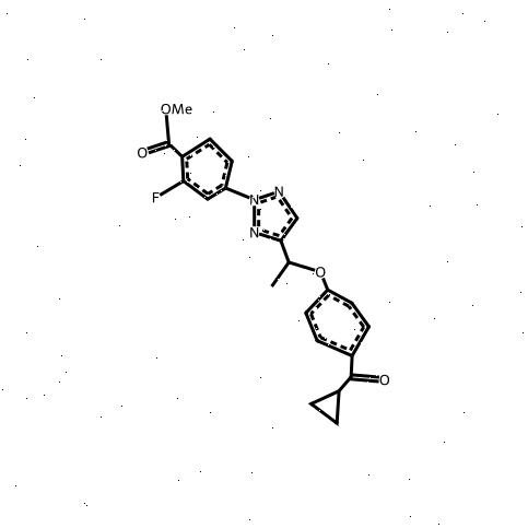 COC(=O)c1ccc(-n2ncc(C(C)Oc3ccc(C(=O)C4CC4)cc3)n2)cc1F